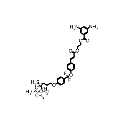 C[Si](C)(C)O[Si](C)(C)CCCOc1ccc(C(F)(F)Oc2ccc(C=CC(=O)OCCOC(=O)c3cc(N)cc(N)c3)cc2)cc1